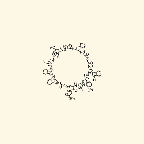 CCCC[C@H]1C(=O)N(C)CC(=O)N[C@@H](CC(=O)O)C(=O)N[C@@H](C(C)C)C(=O)N(C)[C@@H](Cc2ccccc2)C(=O)N[C@@H](C)C(=O)N(C)CC(=O)N[C@@H](Cc2c[nH]c3ccccc23)C(=O)N[C@@H](Cc2ccc(O)cc2)C(=O)N[C@@H](CC(C)C)C(=O)N[C@@H](C(=O)NCC(N)=O)CSCC(=O)N[C@@H](Cc2ccccc2)C(=O)N(C)[C@@H](Cc2ccccc2)C(=O)N1C